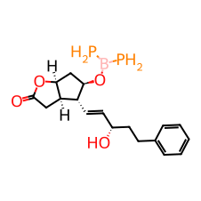 O=C1C[C@@H]2[C@@H](/C=C/[C@@H](O)CCc3ccccc3)[C@H](OB(P)P)C[C@@H]2O1